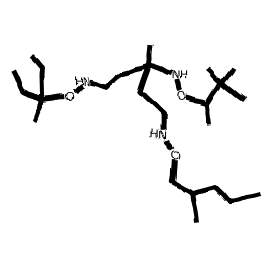 [CH2]C(CCNOCC(C)CCC)(CCNOC(C)(CC)CC)NOC(C)C(C)(C)C